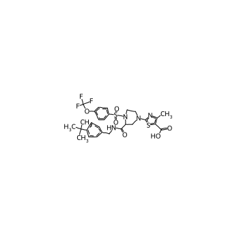 Cc1nc(N2CCN(S(=O)(=O)c3ccc(OC(F)(F)F)cc3)C(C(=O)NCc3ccc(C(C)(C)C)cc3)C2)sc1C(=O)O